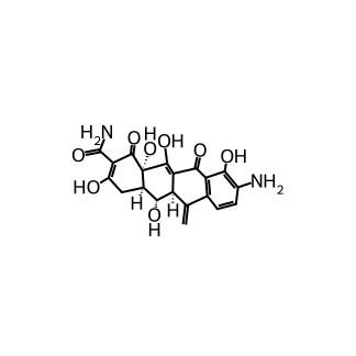 C=C1c2ccc(N)c(O)c2C(=O)C2=C(O)[C@]3(O)C(=O)C(C(N)=O)=C(O)C[C@@H]3[C@@H](O)[C@H]12